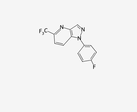 Fc1ccc(-n2ncc3nc(C(F)(F)F)ccc32)cc1